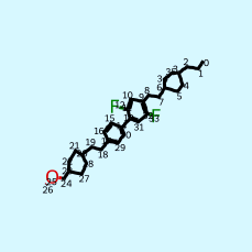 CCCC1CCC(CCc2cc(F)c(-c3ccc(CCC4CCC(COC)CC4)cc3)cc2F)CC1